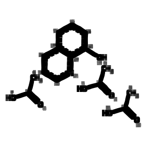 CC(=O)O.CC(=O)O.CC(=O)O.Oc1cccc2cccnc12